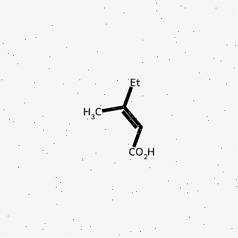 CCC(C)=CC(=O)O